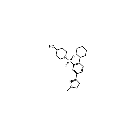 CN1CCC(c2ccc(C3CCCCC3)c(S(=O)(=O)N3CCC(O)CC3)c2)=N1